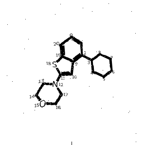 c1cc(C2CCCCC2)c2cc(N3CCOCC3)sc2c1